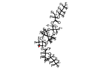 O=C(OC(F)(F)C1(C(F)(F)F)OC(F)(F)C2(C(F)(F)O1)C(F)(F)OC(C(F)(F)F)(C(F)(F)OC(=O)C(F)(OC(F)(F)C(F)(F)C(F)(F)F)C(F)(F)F)OC2(F)F)C(F)(CF)OC(F)(F)C(F)(F)C(F)(F)F